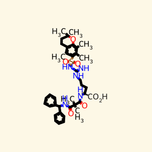 Cc1c(C)c(S(=O)(=O)NC(=N)NCCC[C@H](NC(=O)C(C)(C)C(=O)NC(c2ccccc2)c2ccccc2)C(=O)O)c(C)c2c1OC(C)(C)CC2